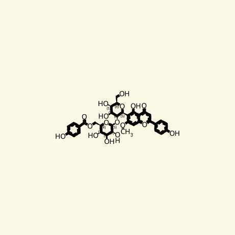 COc1cc2oc(-c3ccc(O)cc3)cc(=O)c2c(O)c1[C@@H]1O[C@H](CO)[C@@H](O)[C@H](O)[C@H]1O[C@@H]1O[C@H](COC(=O)c2ccc(O)cc2)[C@@H](O)[C@H](O)[C@H]1O